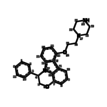 c1ccc(C2COc3cccc4c5c(OCCN6CCNCC6)cccc5n2c34)cc1